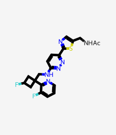 CC(=O)NCc1cnc(-c2ccc(NCC3(c4ncccc4F)CC(F)C3)nn2)s1